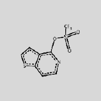 O=S(=O)(Oc1nccc2sccc12)C(F)(F)F